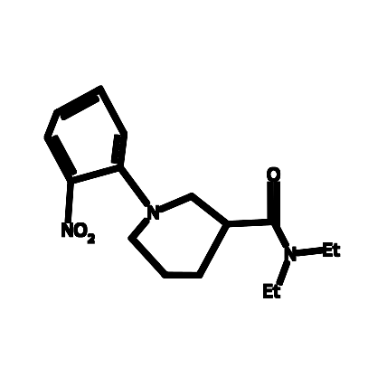 CCN(CC)C(=O)C1CCCN(c2ccccc2[N+](=O)[O-])C1